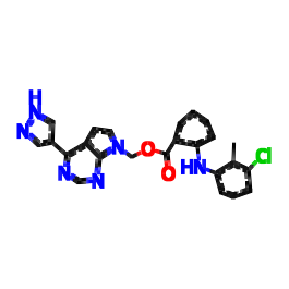 Cc1c(Cl)cccc1Nc1ccccc1C(=O)OCn1ccc2c(-c3cn[nH]c3)ncnc21